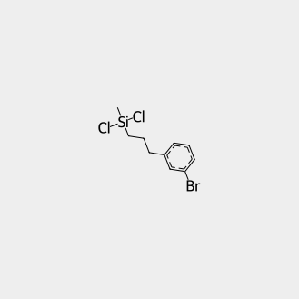 C[Si](Cl)(Cl)CCCc1cccc(Br)c1